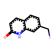 O=c1ccc2ccc(CI)cc2[nH]1